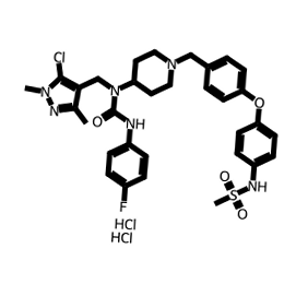 Cc1nn(C)c(Cl)c1CN(C(=O)Nc1ccc(F)cc1)C1CCN(Cc2ccc(Oc3ccc(NS(C)(=O)=O)cc3)cc2)CC1.Cl.Cl